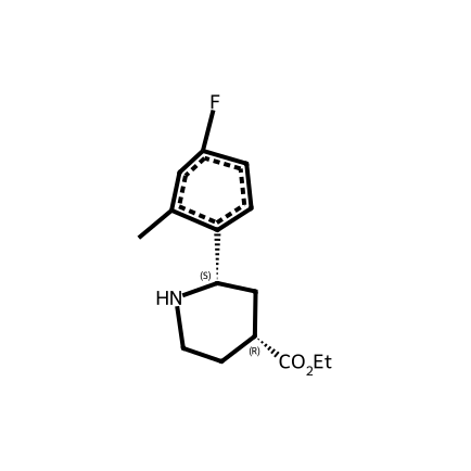 CCOC(=O)[C@@H]1CCN[C@H](c2ccc(F)cc2C)C1